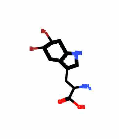 NC(Cc1c[nH]c2cc(Br)c(Br)cc12)C(=O)O